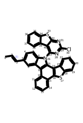 C/C=C/c1ccc2c(c1)c1c3ccccc3c3sc4ccccc4c3c1n2-c1nc(Cl)nc2sc3ccccc3c12